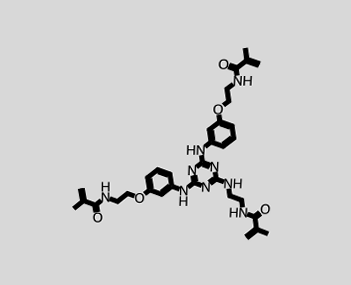 C=C(C)C(=O)NCCNc1nc(Nc2cccc(OCCNC(=O)C(=C)C)c2)nc(Nc2cccc(OCCNC(=O)C(=C)C)c2)n1